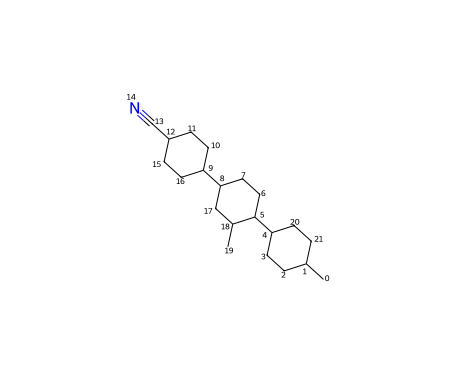 CC1CCC(C2CCC(C3CCC(C#N)CC3)CC2C)CC1